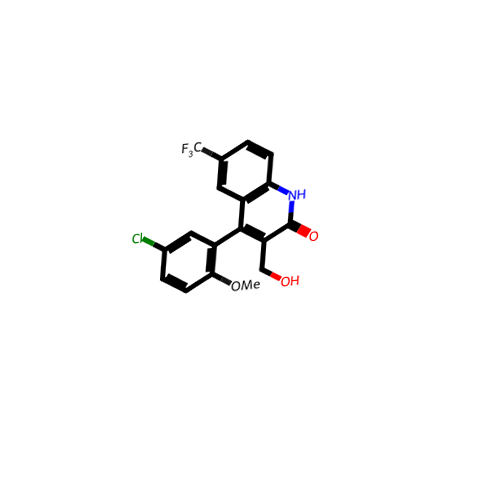 COc1ccc(Cl)cc1-c1c(CO)c(=O)[nH]c2ccc(C(F)(F)F)cc12